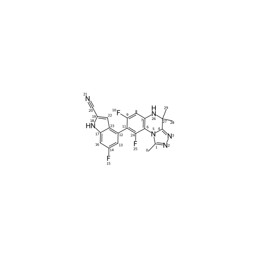 Cc1nnc2n1-c1c(cc(F)c(-c3cc(F)cc4[nH]c(C#N)cc34)c1F)NC2(C)C